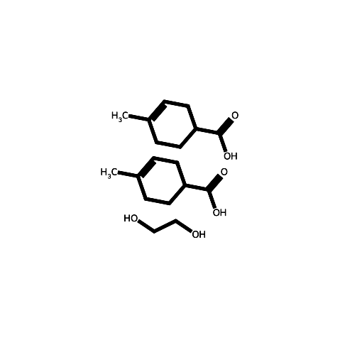 CC1=CCC(C(=O)O)CC1.CC1=CCC(C(=O)O)CC1.OCCO